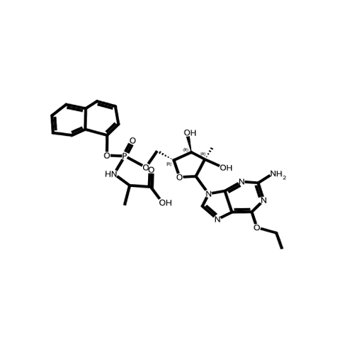 CCOc1nc(N)nc2c1ncn2C1O[C@H](COP(=O)(NC(C)C(=O)O)Oc2cccc3ccccc23)[C@@H](O)[C@@]1(C)O